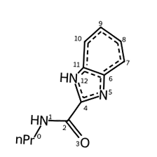 CCCNC(=O)c1nc2ccccc2[nH]1